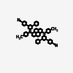 Cc1ccc(N(c2cc(-c3ccccc3)cc(-c3ccc(C#N)cc3)c2)c2ccc3ccc4c(N(c5ccc(C)cc5)c5cc(-c6ccccc6)cc(-c6ccc(C#N)cc6)c5)ccc5ccc2c3c54)cc1